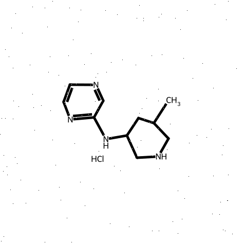 CC1CNCC(Nc2cnccn2)C1.Cl